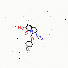 CCC1CCC(OCC2C(N)CCc3ccc(O)c(=O)n32)CC1